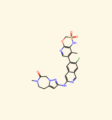 Cc1c(-c2cc3cc(Nc4cc5n(n4)CC(=O)N(C)CC5)ncc3cc2F)cnc2c1NS(=O)(=O)CO2